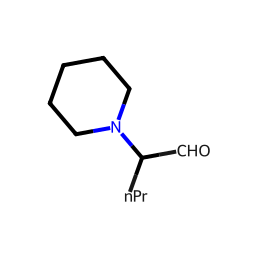 CCCC(C=O)N1CCCCC1